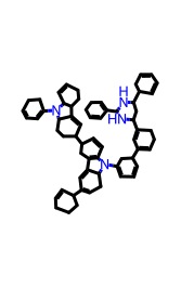 C1=CCCC(N2C3CCC(C4C=CC5=C(C4)C4=CC(C6C=CCCC6)=CCC4N5C4=CC=CC(C5=CCCC(C6CC(C7C=CC=CC7)NC(C7=CCCC=C7)N6)=C5)C4)C=C3C3CCC=CC32)=C1